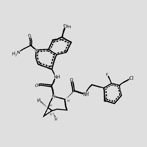 NC(=O)n1cc(NC(=O)N2[C@@H]3C[C@@H]3C[C@H]2C(=O)NCc2cccc(Cl)c2F)c2ccc(O)cc21